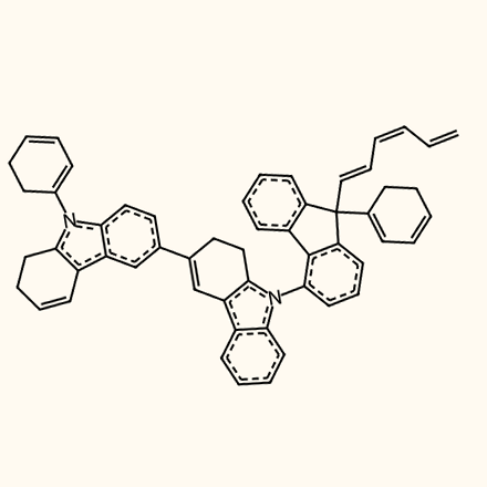 C=C/C=C\C=CC1(C2=CC=CCC2)c2ccccc2-c2c(-n3c4c(c5ccccc53)C=C(c3ccc5c(c3)c3c(n5C5=CC=CCC5)CCC=C3)CC4)cccc21